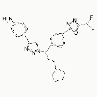 Nc1ccc(-c2cn(C(CCN3CCCC3)c3ccc(-c4nnc(C(F)F)o4)cc3)nn2)cn1